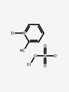 CCOS(=O)(=O)[O-].CC[n+]1ccccc1C#N